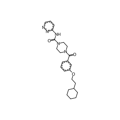 O=C(Nc1cccnn1)N1CCN(C(=O)c2cccc(OCCC3CCCCC3)c2)CC1